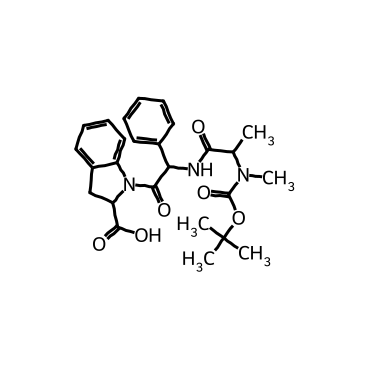 CC(C(=O)NC(C(=O)N1c2ccccc2CC1C(=O)O)c1ccccc1)N(C)C(=O)OC(C)(C)C